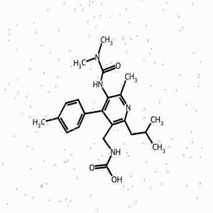 Cc1ccc(-c2c(CNC(=O)O)c(CC(C)C)nc(C)c2NC(=O)N(C)C)cc1